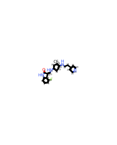 O=C1Nc2cccc(F)c2C1=CNc1ccc(NCCc2ccncc2)c(C(F)(F)F)c1